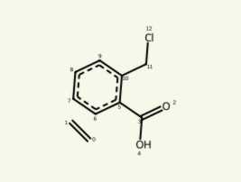 C=C.O=C(O)c1ccccc1CCl